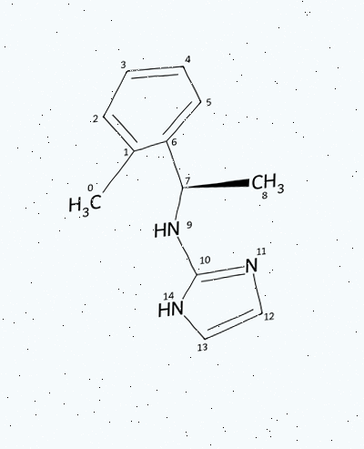 Cc1ccccc1[C@@H](C)Nc1ncc[nH]1